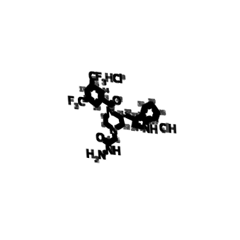 Cl.Cl.NNC(=O)CN1CCN(C(=O)c2cc(C(F)(F)F)cc(C(F)(F)F)c2)[C@H](Cc2c[nH]c3ccccc23)C1